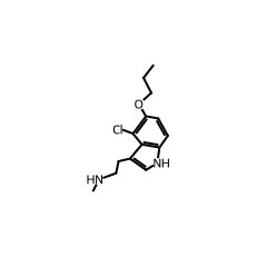 CCCOc1ccc2[nH]cc(CCNC)c2c1Cl